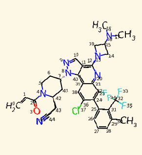 C=CC(=O)N1CC[C@H](n2ncc3c(N4CC(N(C)C)C4)nc4c(F)c(-c5cccc(C)c5C(F)(F)F)c(Cl)cc4c32)C[C@H]1CC#N